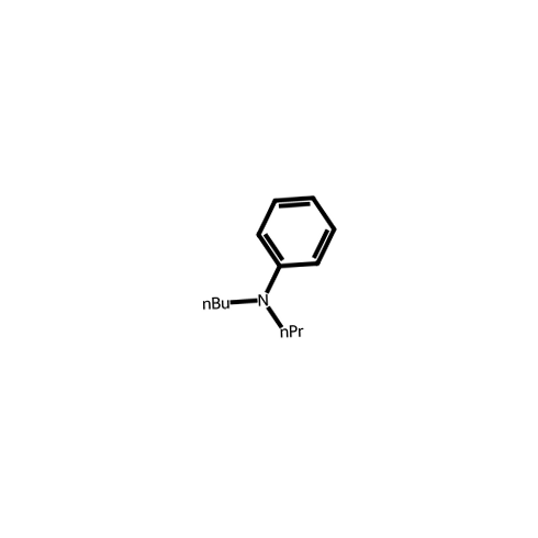 CCCCN(CCC)c1ccccc1